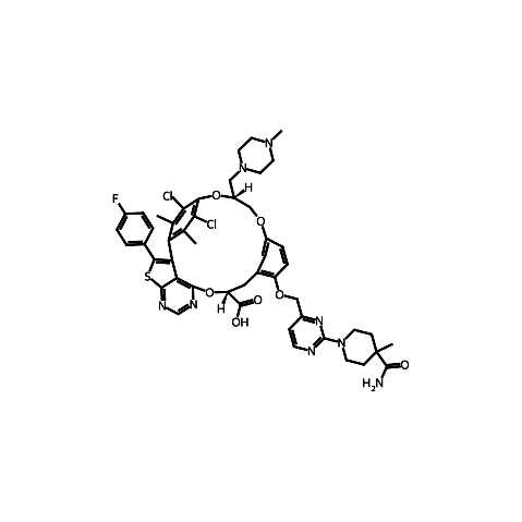 Cc1c(Cl)c2c(Cl)c(C)c1-c1c(-c3ccc(F)cc3)sc3ncnc(c13)O[C@@H](C(=O)O)Cc1cc(ccc1OCc1ccnc(N3CCC(C)(C(N)=O)CC3)n1)OC[C@@H](CN1CCN(C)CC1)O2